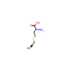 C#CCSCCC(N)C(=O)O